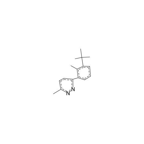 Cc1ccc(-c2cccc(C(C)(C)C)c2C)nn1